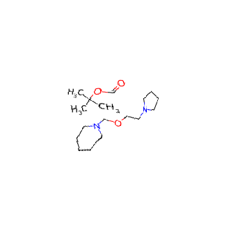 C1CCN(COCCN2CCCC2)CC1.CC(C)(C)OC=O